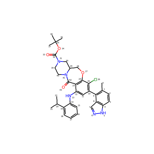 Cc1ccc2[nH]ncc2c1-c1cc(Nc2ccccc2C(C)C)c2c(c1Cl)OCC1CN(C(=O)OC(C)(C)C)CCN1C2=O